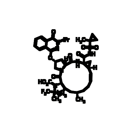 CC(C)n1nc(O[C@@H]2C[C@H]3C(=O)N[C@]4(C(=O)NS(=O)(=O)C5(C)CC5)C[C@H]4C=CCC[C@@H](C)C[C@@H](C)[C@H](N(C(=O)O)C(C)(C)C(F)(F)F)C(=O)N3C2)c2ccccc2c1=O